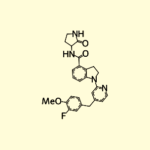 COc1ccc(Cc2ccnc(N3CCc4c(C(=O)NC5CCNC5=O)cccc43)c2)cc1F